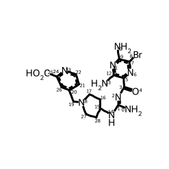 N/C(=N\C(=O)c1nc(Br)c(N)nc1N)NC1CCN(Cc2ccnc(C(=O)O)c2)CC1